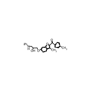 Cc1ccc(C(=O)c2oc3cc(OCC(O)CNC(C)C)ccc3c2C)cc1